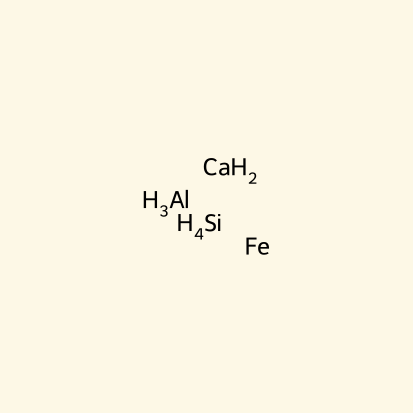 [AlH3].[CaH2].[Fe].[SiH4]